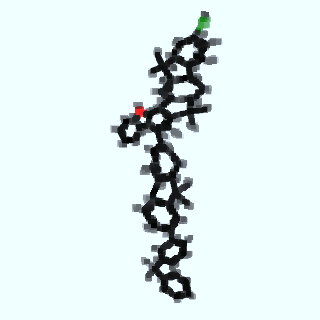 CC1(C)c2ccccc2-c2ccc(-c3ccc4c(c3)C(C)(C)c3cc(-c5cc6c(c7oc8ccccc8c57)-c5cc7c(cc5C6(C)C)-c5ccc(Cl)cc5C7(C)C)ccc3-4)cc21